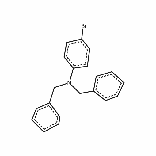 Brc1ccc(N(Cc2ccccc2)Cc2ccccc2)cc1